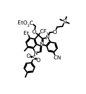 CCOC(=O)COC(c1c(CC)cc(C)c2c1ccn2S(=O)(=O)c1ccc(C)cc1)(c1nc2cc(C#N)ccc2n1COCC[Si](C)(C)C)C(F)(F)F